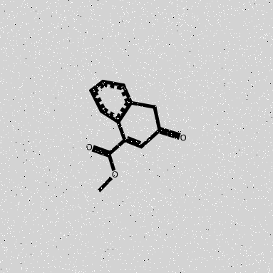 COC(=O)C1=CC(=O)Cc2ccccc21